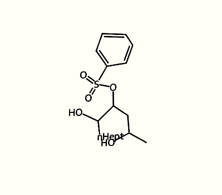 CCCCCCCC(O)C(CC(C)O)OS(=O)(=O)c1ccccc1